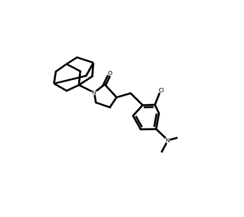 CN(C)c1ccc(CC2CCN(C34CC5CC(CC(C5)C3)C4)C2=O)c(Cl)c1